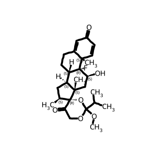 COC1(C(C)C)OCC(=O)[C@@]2(O1)[C@@H](C)C[C@H]1[C@@H]3CCC4=CC(=O)C=C[C@]4(C)[C@@]3(F)[C@@H](O)C[C@@]12C